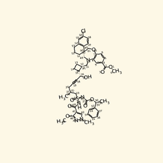 COC(=O)c1ccc2c(c1)N(C[C@@H]1CC[C@H]1C(O)C#CC[C@H](C)CS(=O)(=NC(=O)O[C@@H](C)c1ccccc1)NC(=O)c1cn(C)nc1OC)C[C@@]1(CCCc3cc(Cl)ccc31)CO2